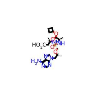 C[C@H](CC(=O)O)N[P@@](=O)(CO[C@H](C)Cn1cnc2c(N)ncnc21)N[C@H](C)C(=O)OC1CCC1